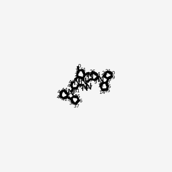 Cc1cc(C)c(-n2c(-c3cc(-n4c5ccccc5c5ccccc54)ccn3)nnc2-c2cc(-n3c4ccccc4c4ccccc43)ccn2)c(C)c1